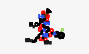 C=C[C@@H]1C[C@]1(NC(=O)C1C[C@@H](OC(=O)N2Cc3cccc(F)c3C2)CN1C(=O)[C@H](CCC/C=C\C(C)(C)C)NC(=O)OC(C)(C)C)C(=O)NS(=O)(=O)C1CC1